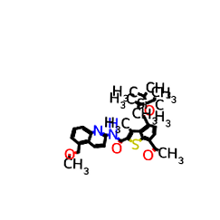 COCc1cccc2nc(NC(=O)c3sc4c(C(C)=O)ccc(CO[Si](C(C)C)(C(C)C)C(C)C)c4c3C)ccc12